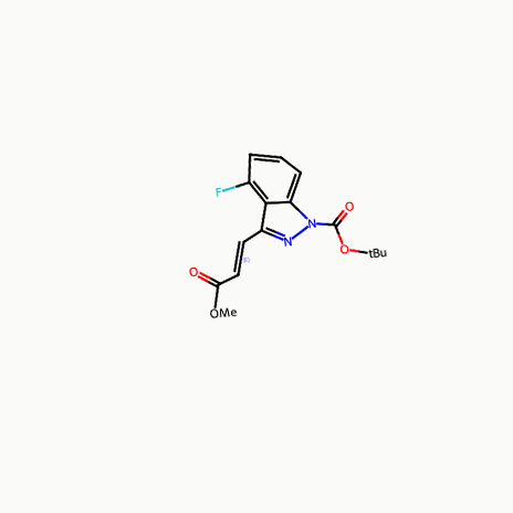 COC(=O)/C=C/c1nn(C(=O)OC(C)(C)C)c2cccc(F)c12